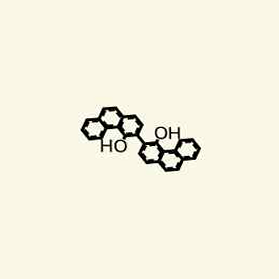 Oc1c(-c2ccc3ccc4ccccc4c3c2O)ccc2ccc3ccccc3c12